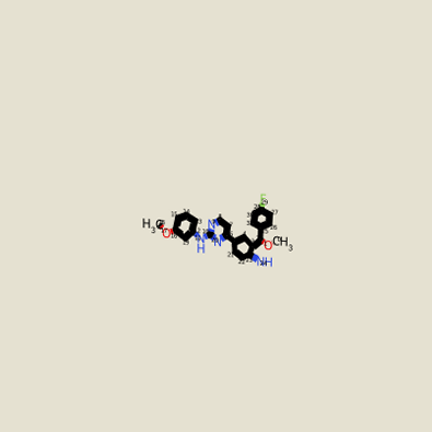 CO/C(=C1/C=C(c2ccnc(Nc3cccc(OC)c3)n2)C=CC1=N)c1ccc(F)cc1